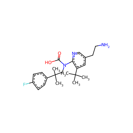 CC(C)(C)c1cc(CCN)cnc1N(CC(C)(C)c1ccc(F)cc1)C(=O)O